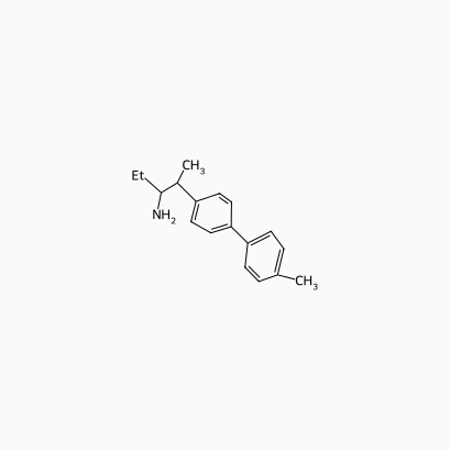 CCC(N)C(C)c1ccc(-c2ccc(C)cc2)cc1